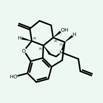 C=CCN1CC[C@@]23c4c5ccc(O)c4O[C@@H]2C(=C)CC[C@]3(O)[C@@H]1C5